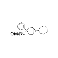 COc1ccccc1C1(C#N)CCN(C2CCCCCC2)CC1